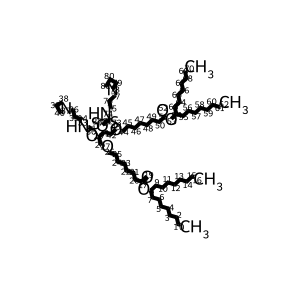 CCCCCCCCC(CCCCCCCC)OC(=O)CCCCCCCOCC(OC(=S)NCCCN1CCC1)C(COCCCCCCCC(=O)OC(CCCCCCCC)CCCCCCCC)OC(=S)NCCCN1CCC1